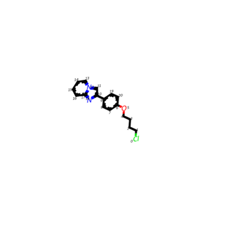 ClCCCCOc1ccc(-c2cn3ccccc3n2)cc1